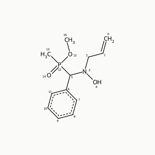 C=CCN(O)C(c1ccccc1)P(C)(=O)OC